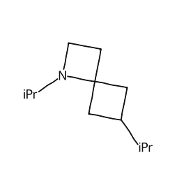 CC(C)C1CC2(CCN2C(C)C)C1